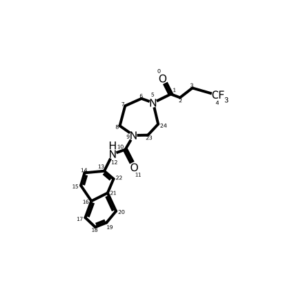 O=C(CCC(F)(F)F)N1CCCN(C(=O)Nc2ccc3ccccc3c2)CC1